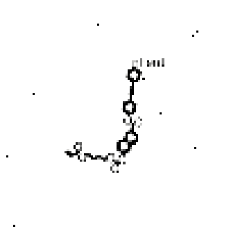 C=CC(=O)OCCCCOC(=O)Oc1ccc2cc(C(=O)Oc3ccc(C#Cc4ccc(CCCCC)cc4)cc3)ccc2c1